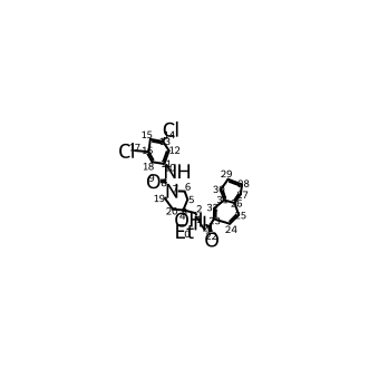 CCN(CC1(O)CCN(C(=O)Nc2cc(Cl)cc(Cl)c2)CC1)C(=O)c1ccc2ccccc2c1